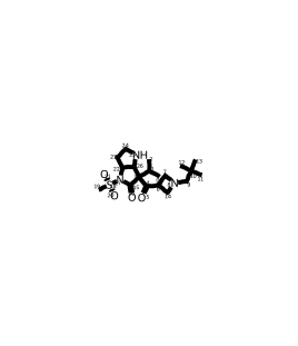 CC(C)C1(C(=O)C2CN(CC(C)(C)C)C2)C(=O)N(S(C)(=O)=O)C2CCNC21